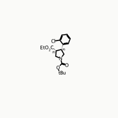 CCOC(=O)[C@H]1CN(C(=O)OC(C)(C)C)C[C@H]1c1ccccc1Cl